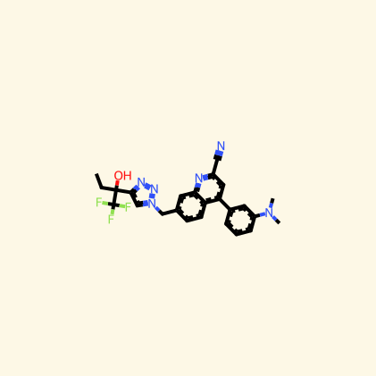 CCC(O)(c1cn(Cc2ccc3c(-c4cccc(N(C)C)c4)cc(C#N)nc3c2)nn1)C(F)(F)F